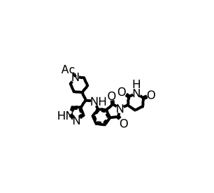 CC(=O)N1CCC(C(Nc2cccc3c2C(=O)N(C2CCC(=O)NC2=O)C3=O)c2cn[nH]c2)CC1